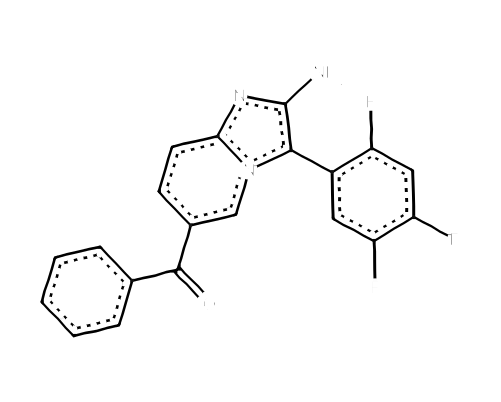 Nc1nc2ccc(C(=O)c3ccccc3)cn2c1-c1cc(F)c(F)cc1F